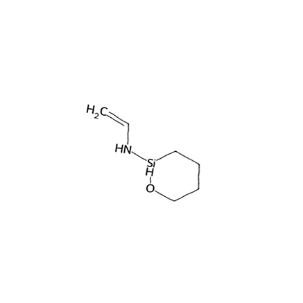 C=CN[SiH]1CCCCO1